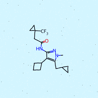 Cn1nc(NC(=O)CC2(C(F)(F)F)CC2)c(C2CCC2)c1CC1CC1